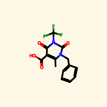 Cc1c(C(=O)O)c(=O)n(C(F)(F)F)c(=O)n1Cc1ccccc1